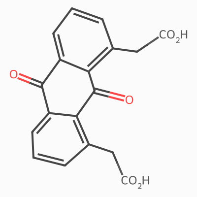 O=C(O)Cc1cccc2c1C(=O)c1c(CC(=O)O)cccc1C2=O